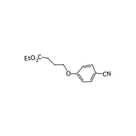 CCOC(=O)CCCOc1ccc(C#N)cc1